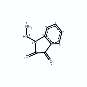 NNN1C(=O)C(=O)c2ccccc21